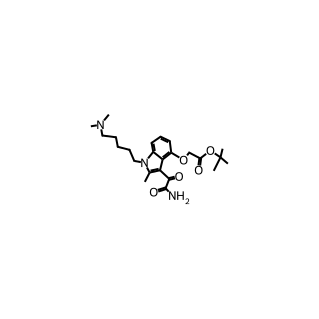 Cc1c(C(=O)C(N)=O)c2c(OCC(=O)OC(C)(C)C)cccc2n1CCCCCN(C)C